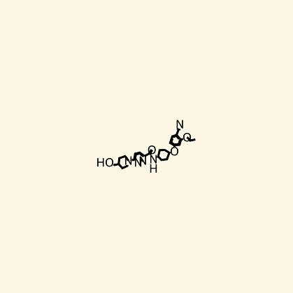 CCOc1cc(O[C@H]2CC[C@H](NC(=O)c3ccc(N4CCC(CO)CC4)nn3)CC2)ccc1C#N